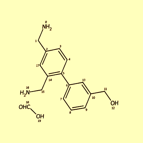 NCc1ccc(-c2cccc(CO)c2)c(CN)c1.O=CO